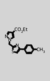 CCOC(=O)c1cnn(Cc2nc(-c3ccc(C)cc3)cs2)c1